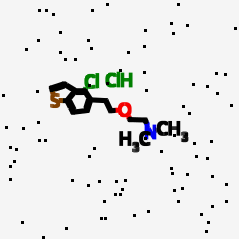 CN(C)CCOCCc1ccc2sccc2c1Cl.Cl